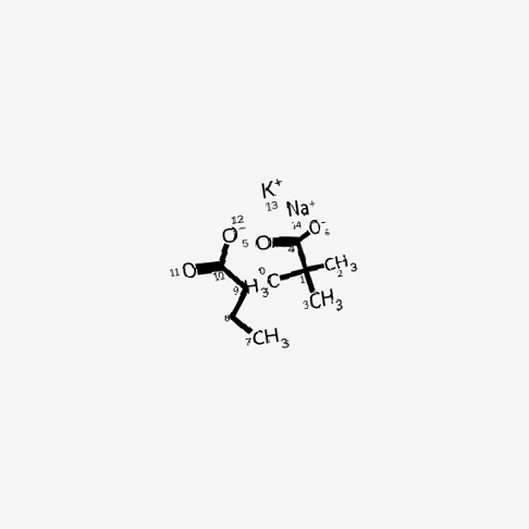 CC(C)(C)C(=O)[O-].CCCC(=O)[O-].[K+].[Na+]